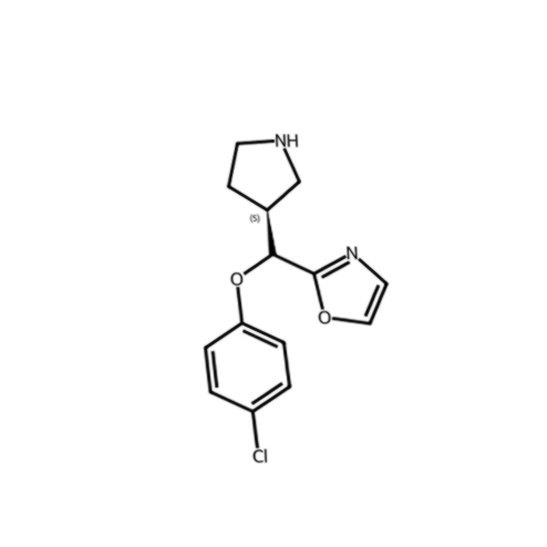 Clc1ccc(OC(c2ncco2)[C@H]2CCNC2)cc1